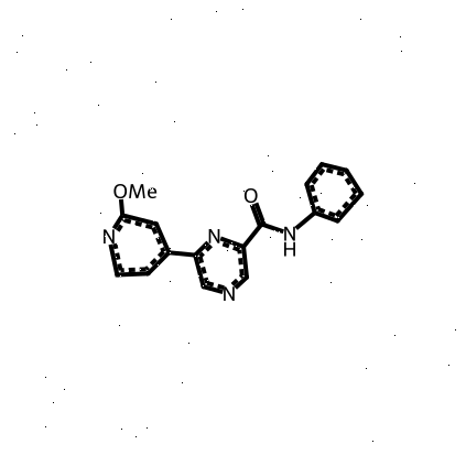 COc1cc(-c2cncc(C(=O)Nc3ccccc3)n2)ccn1